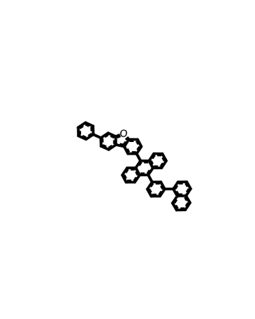 c1ccc(-c2ccc3c(c2)oc2ccc(-c4c5ccccc5c(-c5cccc(-c6cccc7ccccc67)c5)c5ccccc45)cc23)cc1